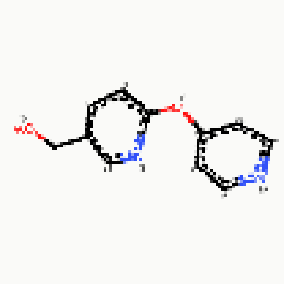 OCc1ccc(Oc2ccncc2)nc1